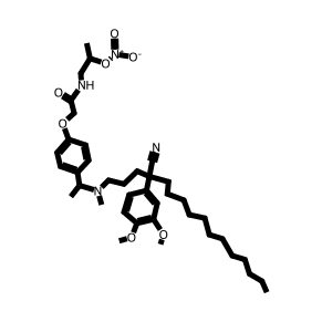 CCCCCCCCCCCCC(C#N)(CCCN(C)C(C)c1ccc(OCC(=O)NCC(C)O[N+](=O)[O-])cc1)c1ccc(OC)c(OC)c1